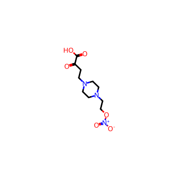 O=C(O)C(=O)CCN1CCN(CCO[N+](=O)[O-])CC1